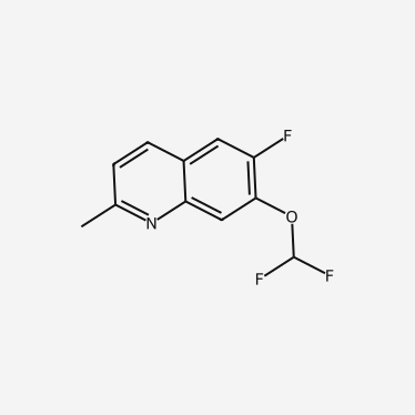 Cc1ccc2cc(F)c(OC(F)F)cc2n1